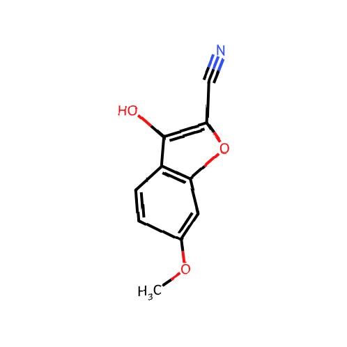 COc1ccc2c(O)c(C#N)oc2c1